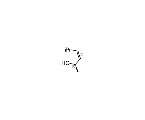 CC(C)/C=C\[C@@H](C)O